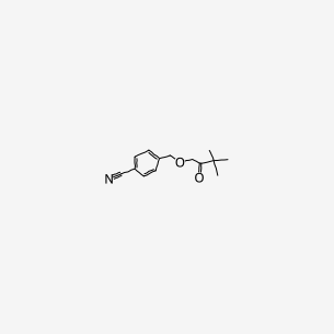 CC(C)(C)C(=O)COCc1ccc(C#N)cc1